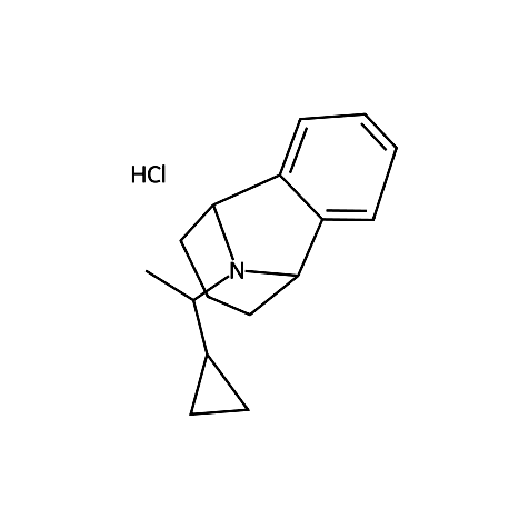 CC(C1CC1)N1C2CCCC1c1ccccc12.Cl